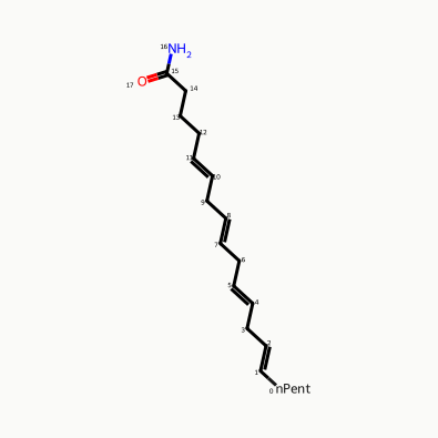 CCCCCC=CCC=CCC=CCC=CCCCC(N)=O